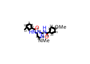 CNc1cc(NC(=O)c2cccc(C)c2)nc(NC(=O)c2ccc(OC)cc2)n1